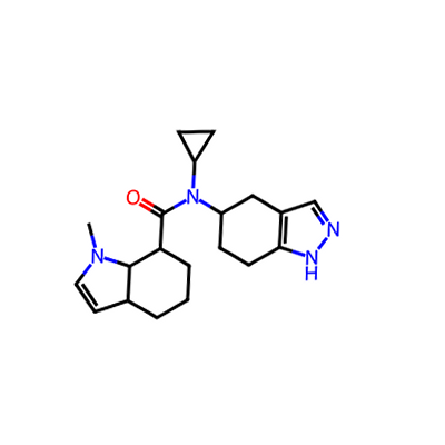 CN1C=CC2CCCC(C(=O)N(C3CC3)C3CCc4[nH]ncc4C3)C21